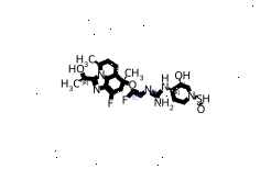 C[C@@H](O)C1=NC2=C(F)C[C@](C)(O/C(F)=C\N=C(/N)N[C@@H]3CCN([SH]=O)C[C@H]3O)C3CC[C@H](C)N1C23